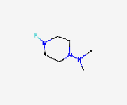 CN(C)N1CCN(F)CC1